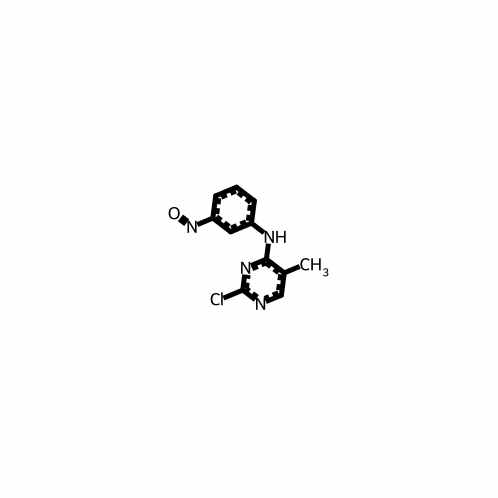 Cc1cnc(Cl)nc1Nc1cccc(N=O)c1